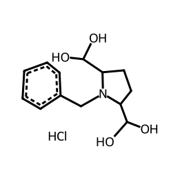 Cl.OC(O)C1CCC(C(O)O)N1Cc1ccccc1